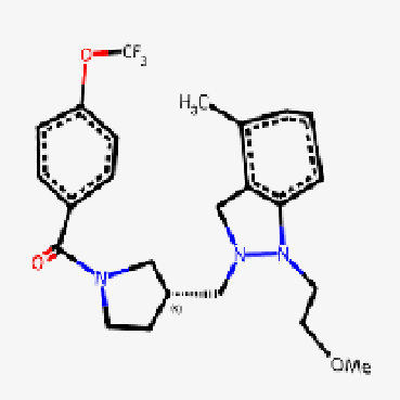 COCCN1c2cccc(C)c2CN1C[C@@H]1CCN(C(=O)c2ccc(OC(F)(F)F)cc2)C1